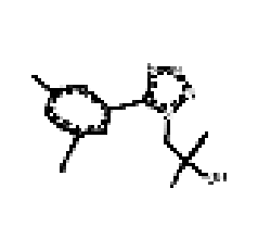 Cc1cc(C)cc(-c2nnnn2CC(C)(C)O)c1